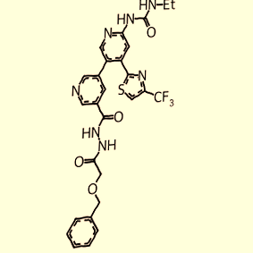 CCNC(=O)Nc1cc(-c2nc(C(F)(F)F)cs2)c(-c2cncc(C(=O)NNC(=O)COCc3ccccc3)c2)cn1